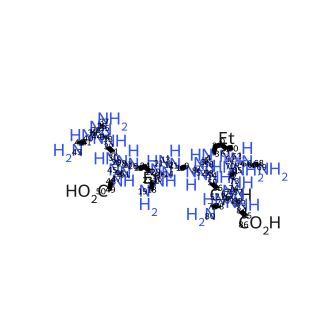 CCC(CCNc1nc(NCCNC(=N)/N=C(/NCCN)N(C)C(CC)CCNc2nc(NCCNc3nc(N)nc(NCCN)n3)nc(NCCC(=O)O)n2)nc(NCCC(=O)O)n1)C(C)/N=C(\N=C(/N)NCCN)NCCNc1nc(NCCN)nc(NCCC(=O)O)n1